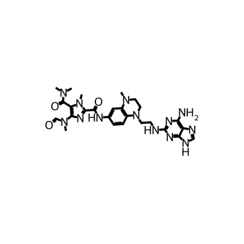 CN(C)C(=O)c1c(N(C)C=O)nc(C(=O)Nc2ccc3c(c2)N(C)CCN3CCNc2nc(N)c3nc[nH]c3n2)n1C